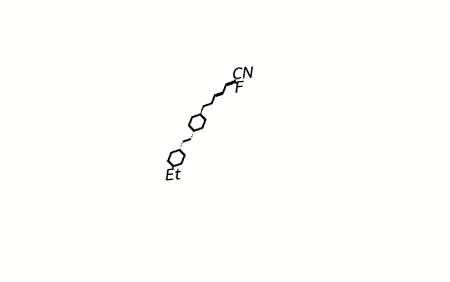 CC[C@H]1CC[C@H](CC[C@H]2CC[C@H](CC/C=C/C=C(\F)C#N)CC2)CC1